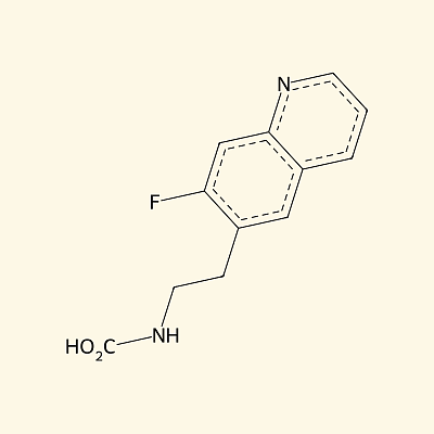 O=C(O)NCCc1cc2cccnc2cc1F